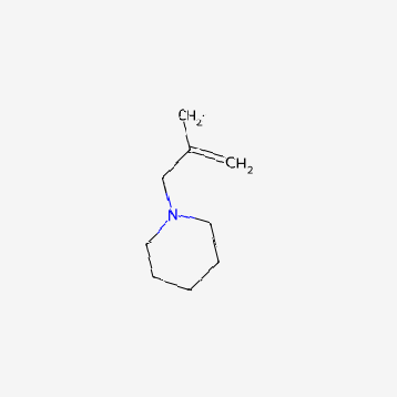 [CH2]C(=C)CN1CCCCC1